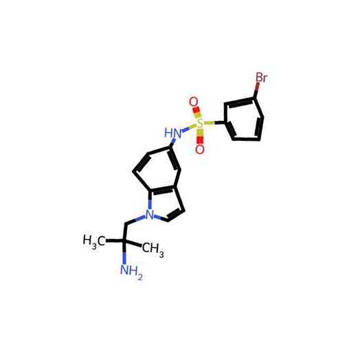 CC(C)(N)Cn1ccc2cc(NS(=O)(=O)c3cccc(Br)c3)ccc21